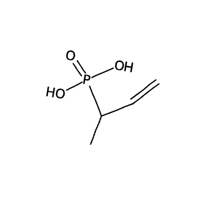 C=CC(C)P(=O)(O)O